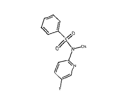 N#CN(c1ccc(F)cn1)S(=O)(=O)c1ccccc1